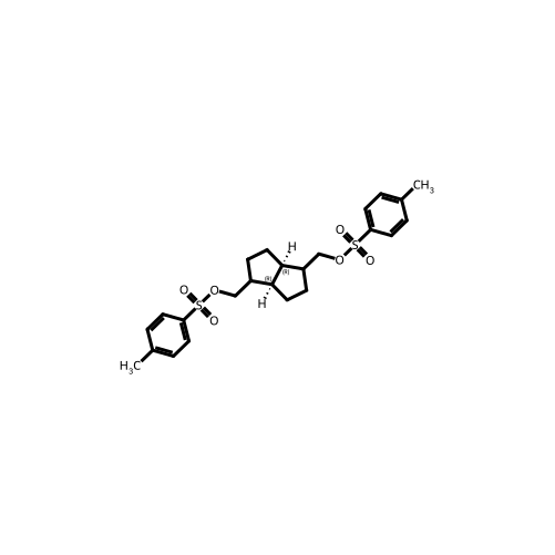 Cc1ccc(S(=O)(=O)OCC2CC[C@H]3C(COS(=O)(=O)c4ccc(C)cc4)CC[C@@H]23)cc1